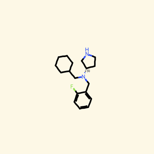 Fc1ccccc1CN(CC1CCCCC1)[C@H]1CCNC1